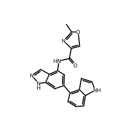 Cc1nc(C(=O)Nc2cc(-c3cccc4[nH]ccc34)cc3[nH]ncc23)co1